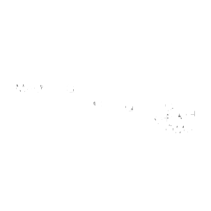 COCCOCCOCCOCCOP(=O)(O)OC